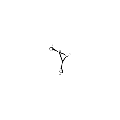 Cl[C@@H]1O[C@@H]1Cl